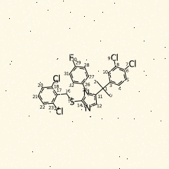 CC(C)(c1ccc(Cl)c(Cl)c1)c1cnc(SCc2c(Cl)cccc2Cl)n1-c1ccc(F)cc1